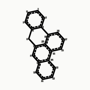 c1ccc2c(c1)Cc1cc3ccccc3c3cccc-2c13